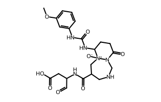 COc1cccc(NC(=O)NC2CCC(=O)N3CNCC(C(=O)NC(C=O)CC(=O)O)C[N+]23[O-])c1